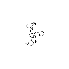 CC(C)(C)[S+]([O-])N=Cc1nc(-c2cc(F)ccc2F)oc1Cc1ccccc1